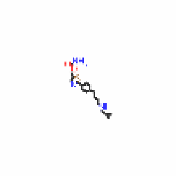 NC(=O)OCc1cnc(-c2ccc(CCCCNCC3CC3)cc2)s1